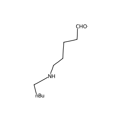 CCCCCNCCCC[C]=O